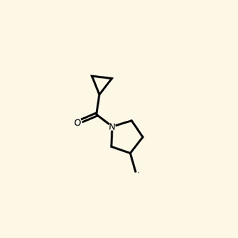 [CH2]C1CCN(C(=O)C2CC2)C1